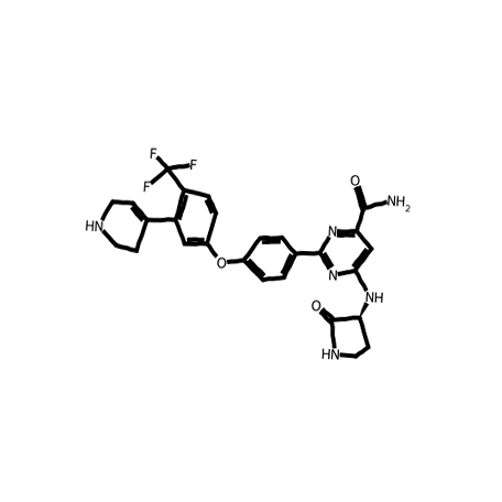 NC(=O)c1cc(N[C@H]2CCNC2=O)nc(-c2ccc(Oc3ccc(C(F)(F)F)c(C4=CCNCC4)c3)cc2)n1